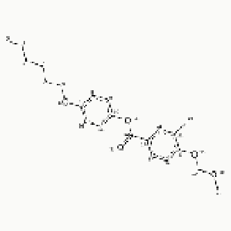 CCCCCCOc1ccc(OC(=O)c2ccc(OCOC)c(I)c2)cc1